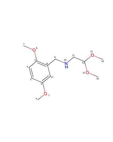 COc1ccc(OC)c(CNCC(OC)OC)c1